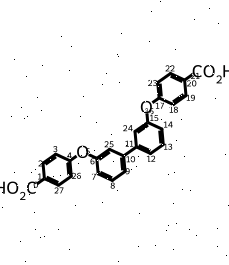 O=C(O)c1ccc(Oc2cccc(-c3cccc(Oc4ccc(C(=O)O)cc4)c3)c2)cc1